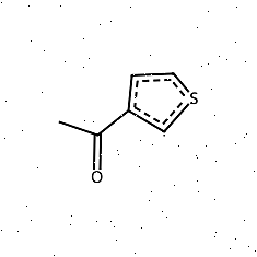 CC(=O)c1[c]scc1